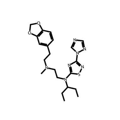 CCC(CC)N(CCN(C)CCc1ccc2c(c1)OCO2)c1nc(-n2cncn2)ns1